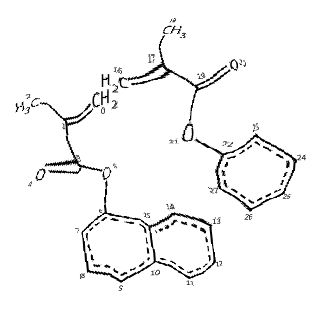 C=C(C)C(=O)Oc1cccc2ccccc12.C=C(C)C(=O)Oc1ccccc1